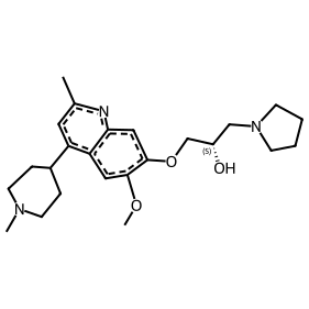 COc1cc2c(C3CCN(C)CC3)cc(C)nc2cc1OC[C@@H](O)CN1CCCC1